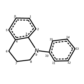 [c]1ccc2c(c1)CCCN2c1ccccc1